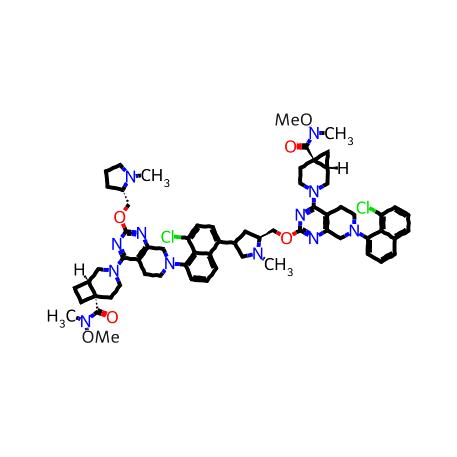 CON(C)C(=O)[C@]12CC[C@H]1CN(c1nc(OC[C@@H]3CCCN3C)nc3c1CCN(c1cccc4c(C5C[C@@H](COc6nc7c(c(N8CC[C@]9(C(=O)N(C)OC)C[C@@H]9C8)n6)CCN(c6cccc8cccc(Cl)c68)C7)N(C)C5)ccc(Cl)c14)C3)CC2